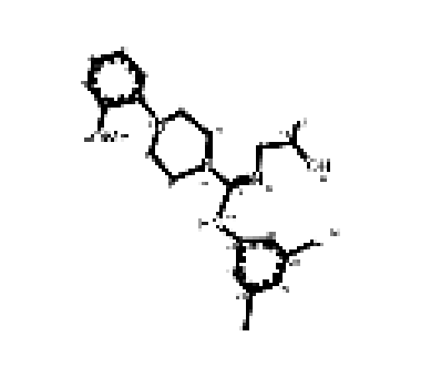 COc1ccccc1N1CCN(/C(=N\CC(C)O)Nc2cc(C)cc(Cl)c2)CC1